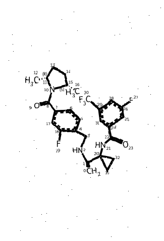 C=C(NCc1ccc(C(=O)N2[C@H](C)CC[C@@H]2C)cc1F)C1(NC(=O)c2cc(F)cc(C(F)(F)F)c2)CC1